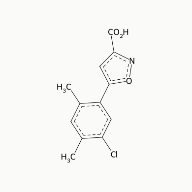 Cc1cc(C)c(-c2cc(C(=O)O)no2)cc1Cl